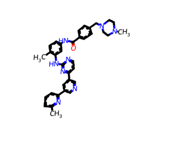 Cc1cccc(-c2cncc(-c3ccnc(Nc4cc(NC(=O)c5ccc(CN6CCN(C)CC6)cc5)ccc4C)n3)c2)n1